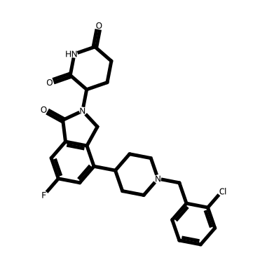 O=C1CCC(N2Cc3c(cc(F)cc3C3CCN(Cc4ccccc4Cl)CC3)C2=O)C(=O)N1